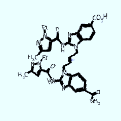 CCn1nc(C)cc1C(=O)Nc1nc2cc(C(N)=O)ccc2n1C/C=C/Cn1c(NC(=O)c2cc(C)nn2CC)nc2cc(C(=O)O)ccc21